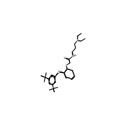 CCN(CC)CCCNC(=O)CSC1CCCCC1Sc1cc(C(C)(C)C)cc(C(C)(C)C)c1